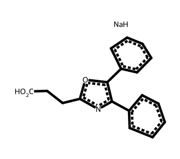 O=C(O)CCc1nc(-c2ccccc2)c(-c2ccccc2)o1.[NaH]